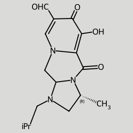 CC(C)CN1C[C@@H](C)N2C(=O)c3c(O)c(=O)c(C=O)cn3CC12